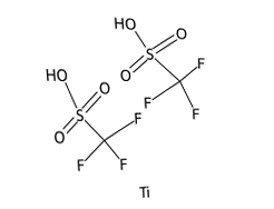 O=S(=O)(O)C(F)(F)F.O=S(=O)(O)C(F)(F)F.[Ti]